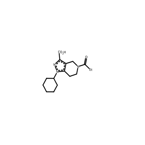 CCC(=O)N1CCc2c(c(C(=O)O)nn2C2CCCCC2)C1